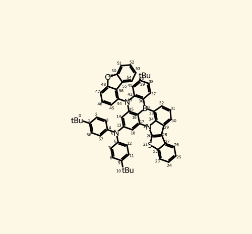 CC(C)(C)c1ccc(N(c2ccc(C(C)(C)C)cc2)c2cc3c4c(c2)-n2c5sc6ccccc6c5c5cccc(c52)B4c2ccc(C(C)(C)C)cc2N3c2cccc3oc4ccccc4c23)cc1